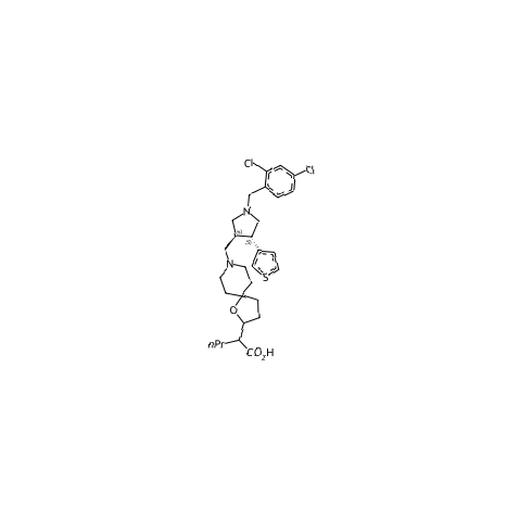 CCCC(C(=O)O)C1CCC2(CCN(C[C@H]3CN(Cc4ccc(Cl)cc4Cl)C[C@@H]3c3ccsc3)CC2)O1